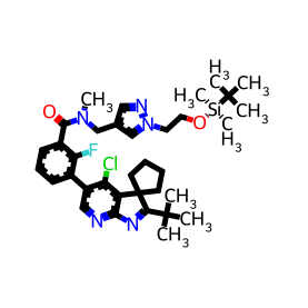 CN(Cc1cnn(CCO[Si](C)(C)C(C)(C)C)c1)C(=O)c1cccc(-c2cnc3c(c2Cl)C2(CCCC2)C(C(C)(C)C)=N3)c1F